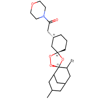 CCC1CC2CC(C)CC(C2)[C@@]12OO[C@@]1(CCC[C@@H](CC(=O)N3CCOCC3)C1)O2